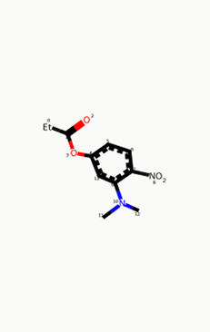 CCC(=O)Oc1ccc([N+](=O)[O-])c(N(C)C)c1